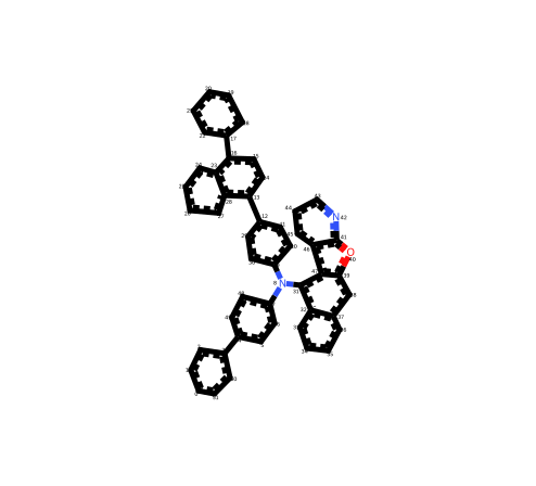 c1ccc(-c2ccc(N(c3ccc(-c4ccc(-c5ccccc5)c5ccccc45)cc3)c3c4ccccc4cc4oc5ncccc5c34)cc2)cc1